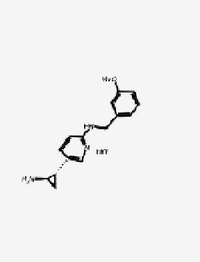 COc1cccc(CNc2ccc([C@@H]3C[C@H]3N)cn2)c1.Cl